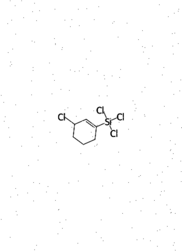 ClC1C=C([Si](Cl)(Cl)Cl)CCC1